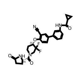 N#Cc1cc(-c2cccc(NC(=O)C3CC3)c2)ccc1O[C@H]1CCN(C(=O)[C@@H]2CCC(=O)N2)CC1(F)F